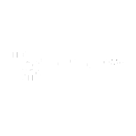 COCCOCCOCCOCC1COc2c(C)sc(C)c2O1